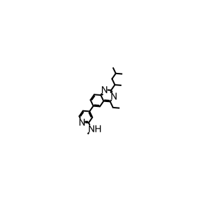 CCc1nc(C(C)CC(C)C)nc2ccc(-c3ccnc(NC)c3)cc12